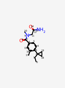 CCC1(c2ccc(C(=O)N(C)CC(N)=O)cc2C)CC1